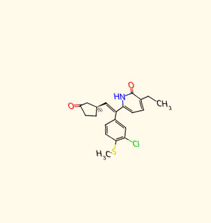 CCc1ccc(C(=C[C@H]2CCC(=O)C2)c2ccc(SC)c(Cl)c2)[nH]c1=O